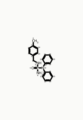 Cc1ccc(CNP(N)(=O)N(c2ccccc2)c2ccccc2)cc1